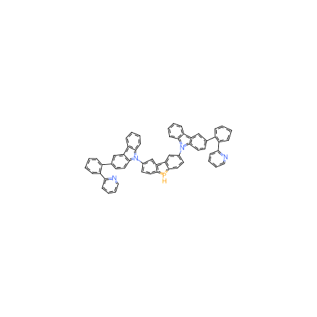 c1ccc(-c2ccccc2-c2ccc3c(c2)c2ccccc2n3-c2ccc3[pH]c4ccc(-n5c6ccccc6c6cc(-c7ccccc7-c7ccccn7)ccc65)cc4c3c2)nc1